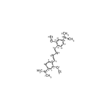 CCOc1cc(N(C)C)ccc1C=NN=Cc1ccc(N(C)C)cc1OCC